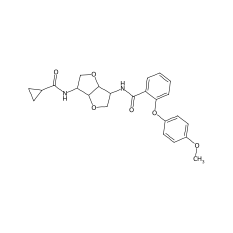 COc1ccc(Oc2ccccc2C(=O)NC2COC3C(NC(=O)C4CC4)COC23)cc1